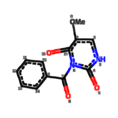 COc1c[nH]c(=O)n(C(=O)c2ccccc2)c1=O